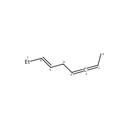 CC=C=CCC=CCC